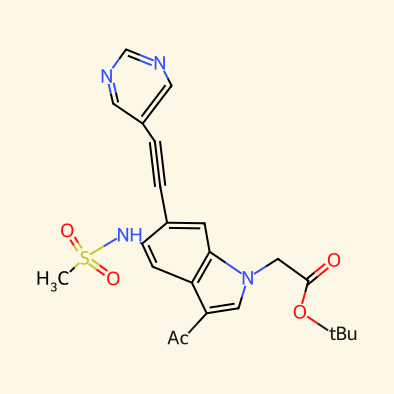 CC(=O)c1cn(CC(=O)OC(C)(C)C)c2cc(C#Cc3cncnc3)c(NS(C)(=O)=O)cc12